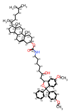 COc1ccc(C(OCCC(O)CCCCCNC(=O)O[C@@H]2CCC3(C)C(=CCC4C3CC[C@]3(C)C4CC[C@H]3[C@@H](C)CCCC(C)C)C2)(c2ccccc2)c2ccc(OC)cc2)cc1